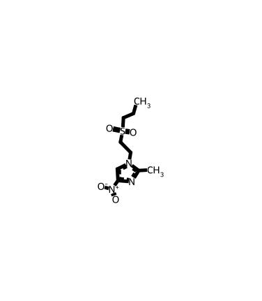 CCCS(=O)(=O)CCn1cc([N+](=O)[O-])nc1C